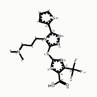 CN(C)CCCn1c(Sc2nc(C(F)(F)F)c(C(=O)O)s2)nnc1-c1cccs1